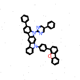 c1ccc(-c2cnc(-n3c4cc(-c5ccccc5)ccc4c4cc5c6ccccc6n(-c6ccc(-c7cccc8c7oc7ccccc78)cc6)c5cc43)nc2)cc1